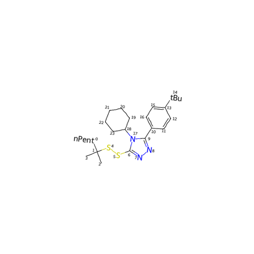 CCCCCC(C)(C)SSc1nnc(-c2ccc(C(C)(C)C)cc2)n1C1CCCCC1